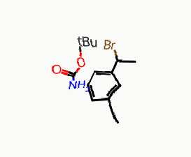 CC(C)(C)OC(N)=O.Cc1cccc(C(C)Br)c1